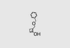 OC1C2CC1(COCc1ccccc1)C2